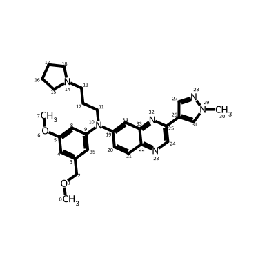 COCc1cc(OC)cc(N(CCCN2CCCC2)c2ccc3ncc(-c4cnn(C)c4)nc3c2)c1